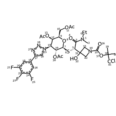 CCN(C)C(=O)[C@@H](S[C@@H]1O[C@H](COC(C)=O)[C@H](OC(C)=O)[C@H](n2cc(-c3cc(F)c(F)c(F)c3)nn2)[C@H]1OC(C)=O)C1(O)CN(C(=O)OC(C)(C)C(Cl)(Cl)Cl)C1